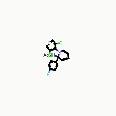 CC(=O)NC1(c2ccc(F)cc2)C=[C]C=CN1c1c(Cl)cccc1Cl